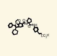 O=C(O)/C=C/c1ccc(NC(=O)C2(NC(=O)c3ccc4c(C5CCCCC5)c(-c5ccccc5)n5c4c3OCC5)CCCC2)cc1